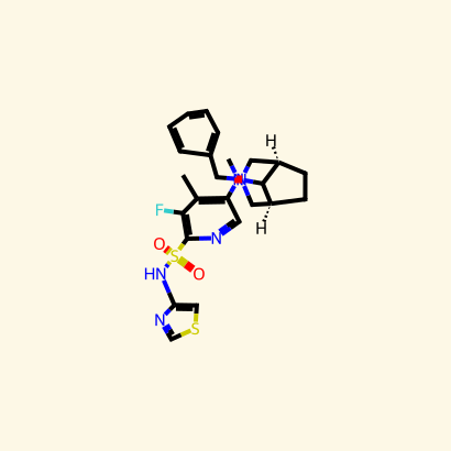 Cc1c(N(C)C2[C@@H]3CC[C@H]2CN(Cc2ccccc2)C3)cnc(S(=O)(=O)Nc2cscn2)c1F